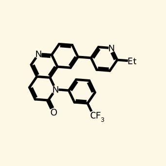 CCc1ccc(-c2ccc3ncc4ccc(=O)n(-c5cccc(C(F)(F)F)c5)c4c3c2)cn1